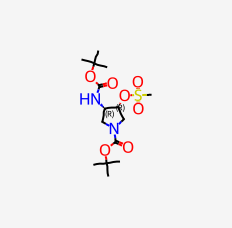 CC(C)(C)OC(=O)N[C@@H]1CN(C(=O)OC(C)(C)C)C[C@H]1OS(C)(=O)=O